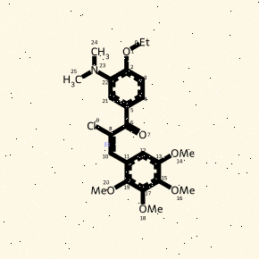 CCOc1ccc(C(=O)/C(Cl)=C\c2cc(OC)c(OC)c(OC)c2OC)cc1N(C)C